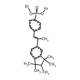 CCOP(=O)(OCC)c1ccc(/C=C(\C)c2ccc3c(c2)C(C)(C)C(C)C3(C)C)cc1